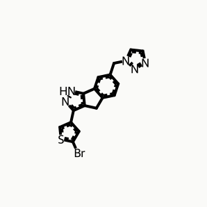 Brc1cc(-c2n[nH]c3c2Cc2ccc(Cn4ccnn4)cc2-3)cs1